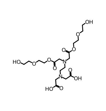 O=C(O)CN(CCN(CC(=O)OCCOCCO)CC(=O)OCCOCCO)CC(=O)O